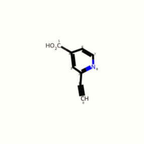 C#Cc1cc(C(=O)O)ccn1